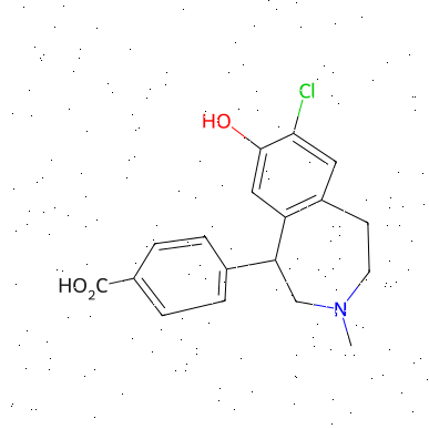 CN1CCc2cc(Cl)c(O)cc2C(c2ccc(C(=O)O)cc2)C1